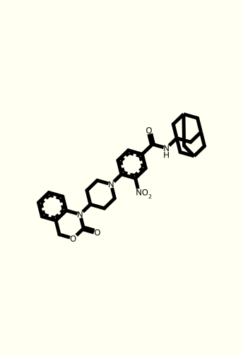 O=C(NC12CC3CC(CC(C3)C1)C2)c1ccc(N2CCC(N3C(=O)OCc4ccccc43)CC2)c([N+](=O)[O-])c1